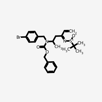 C=CC(CC(C)N(Cc1ccc(Br)cc1)C(=O)OCc1ccccc1)=N[S+]([O-])C(C)(C)C